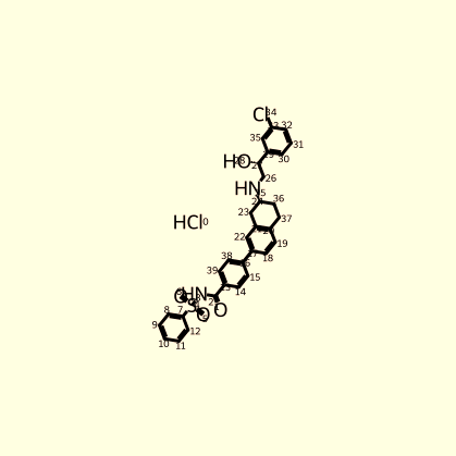 Cl.O=C(NS(=O)(=O)c1ccccc1)c1ccc(-c2ccc3c(c2)C[C@@H](NC[C@H](O)c2cccc(Cl)c2)CC3)cc1